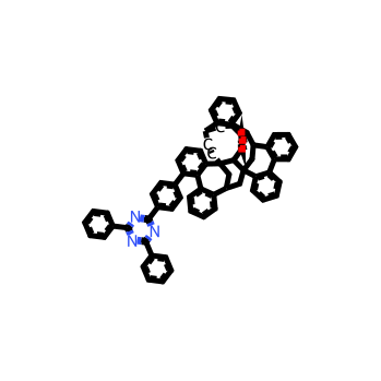 c1ccc(-c2nc(-c3ccccc3)nc(-c3ccc(-c4cccc5c4-c4ccccc4C4CC67CC(CCCC8CCC5(C4)C6c4ccccc4-c4ccccc48)c4ccccc4-c4ccccc47)cc3)n2)cc1